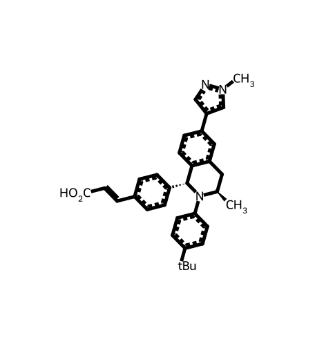 C[C@@H]1Cc2cc(-c3cnn(C)c3)ccc2[C@@H](c2ccc(/C=C/C(=O)O)cc2)N1c1ccc(C(C)(C)C)cc1